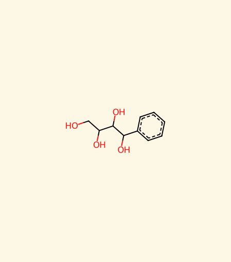 OCC(O)C(O)C(O)c1ccccc1